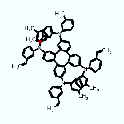 C=Cc1cccc(N(c2cccc(C)c2)c2ccc3c(c2)-c2cc(N(c4cccc(C)c4)c4cccc(C=C)c4)ccc2-c2ccc(N(c4cccc(C)c4)c4cccc(C=C)c4)cc2-c2cc(N(c4cccc(C)c4)c4cccc(C=C)c4)ccc2-3)c1